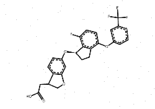 O=C(O)CC1COc2cc(O[C@@H]3CCc4c(Oc5ccnc(C(F)(F)F)c5)ccc(F)c43)ccc21